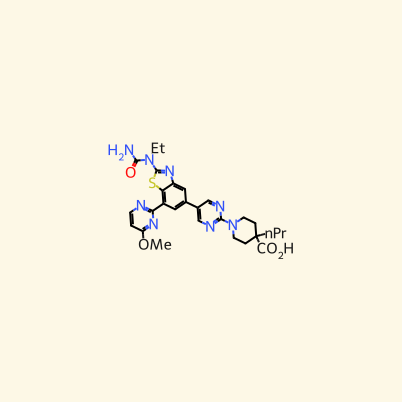 CCCC1(C(=O)O)CCN(c2ncc(-c3cc(-c4nccc(OC)n4)c4sc(N(CC)C(N)=O)nc4c3)cn2)CC1